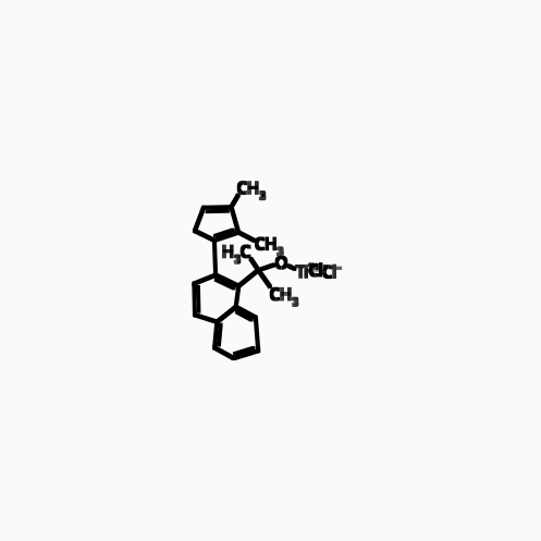 CC1=CCC(c2ccc3ccccc3c2C(C)(C)[O][Ti+2])=C1C.[Cl-].[Cl-]